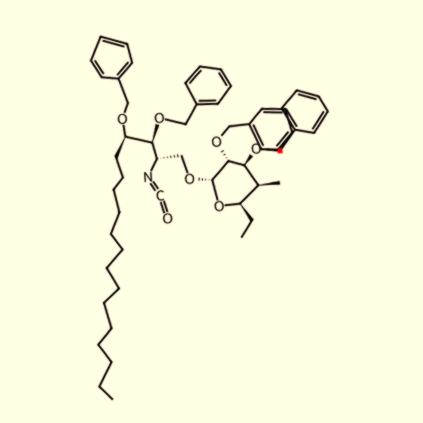 CCCCCCCCCCCCCC[C@@H](OCc1ccccc1)[C@@H](OCc1ccccc1)[C@H](CO[C@H]1O[C@H](CC)[C@H](C)[C@H](OCc2ccccc2)[C@H]1OCc1ccccc1)N=C=O